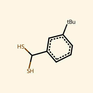 CC(C)(C)c1cccc(C(S)S)c1